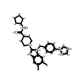 Cc1cc2nc(N3CCC(C(=O)NC4CCCC4)CC3)n(Cc3ccc(-n4cncn4)cc3)c2cc1C